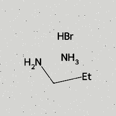 Br.CCCN.N